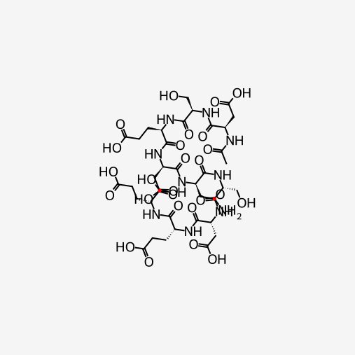 CC(=O)N[C@H](CC(=O)O)C(=O)N[C@H](CO)C(=O)N[C@H](CCC(=O)O)C(=O)N[C@H](CC(=O)O)C(=O)N[C@H](CC(N)=O)C(=O)N[C@H](CO)C(=O)N[C@H](CC(=O)O)C(=O)N[C@H](CCC(=O)O)C(=O)N[C@H](CCC(=O)O)C(=O)O